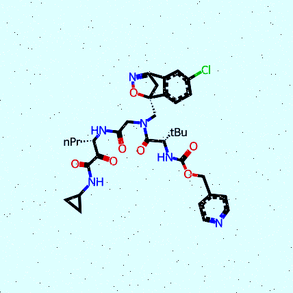 CCC[C@H](NC(=O)CN(C[C@@]12CC(=NO1)c1cc(Cl)ccc12)C(=O)[C@@H](NC(=O)OCc1ccncc1)C(C)(C)C)C(=O)C(=O)NC1CC1